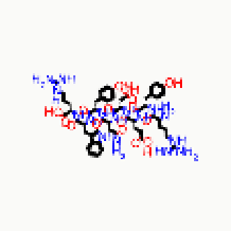 N=C(N)NCCC[C@H](NC(=O)[C@H](Cc1c[nH]c2ccccc12)NC(=O)[C@H](Cc1ccc(O)cc1)NC(=O)[C@H](CC(N)=O)NC(=O)[C@H](CC(=O)O)NC(=O)[C@H](CCC(=O)O)NC(=O)[C@H](Cc1ccc(O)cc1)NC(=O)[C@@H](N)CCCNC(=N)N)C(=O)O